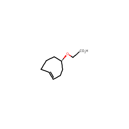 O=C(O)CO[C@H]1CC/C=C/CCC1